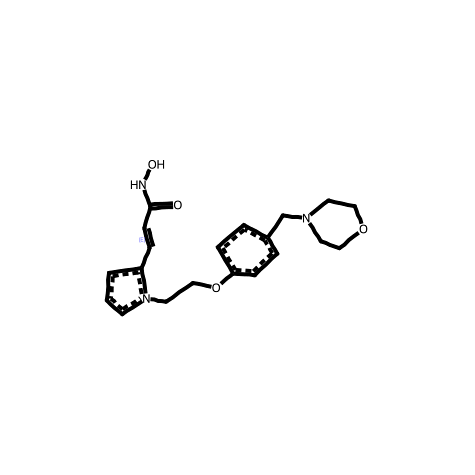 O=C(/C=C/c1cccn1CCOc1ccc(CN2CCOCC2)cc1)NO